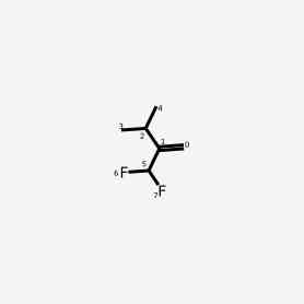 C=C(C(C)C)C(F)F